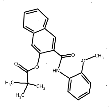 COc1ccccc1NC(=O)c1cc2ccccc2cc1OC(=O)C(C)(C)C